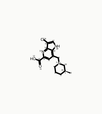 C[C@H]1CCCN(Cc2cc(C(=O)O)nc3c(Cl)c[nH]c23)C1